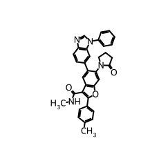 CNC(=O)c1c(-c2ccc(C)cc2)oc2cc(N3CCCC3=O)c(-c3ccc4ncn(-c5ccccc5)c4c3)cc12